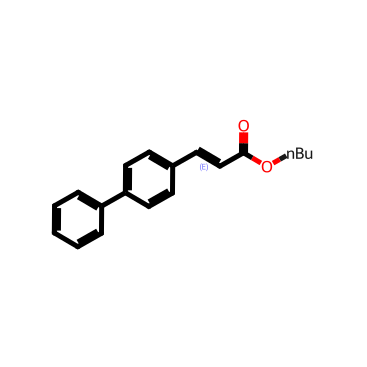 CCCCOC(=O)/C=C/c1ccc(-c2ccccc2)cc1